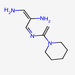 C=C(/N=C\C(N)=C/N)N1CCCCC1